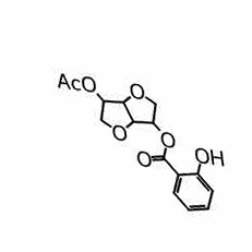 CC(=O)OC1COC2C(OC(=O)c3ccccc3O)COC12